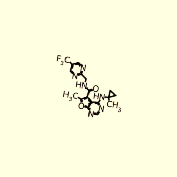 Cc1oc2ncnc(NC3(C)CC3)c2c1C(=O)NCc1ncc(C(F)(F)F)cn1